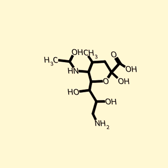 CC(O)NC1C(C)CC(O)(C(=O)O)OC1C(O)C(O)CN